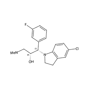 CNC[C@@H](O)[C@H](c1cccc(F)c1)N1CCc2cc(Cl)ccc21